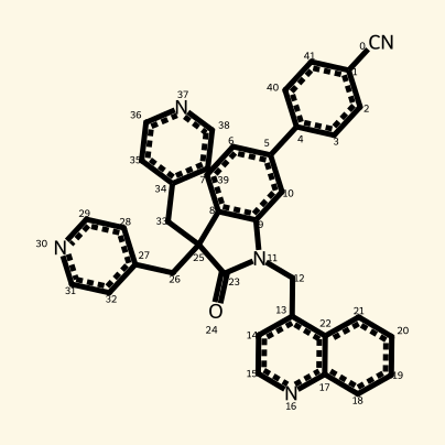 N#Cc1ccc(-c2ccc3c(c2)N(Cc2ccnc4ccccc24)C(=O)C3(Cc2ccncc2)Cc2ccncc2)cc1